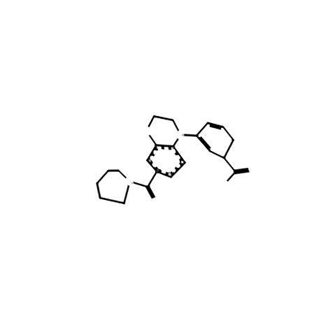 O=C(O)C1C=C(N2CCOc3cc(C(=O)N4CCCCC4)ccc32)C=CC1